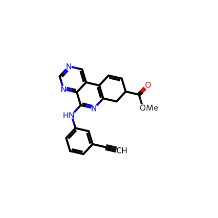 C#Cc1cccc(Nc2nc3c(c4cncnc24)C=CC(C(=O)OC)C3)c1